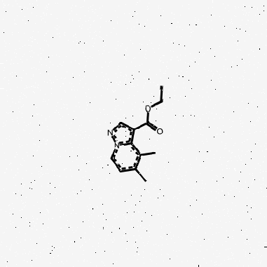 CCOC(=O)c1cnn2ccc(C)c(C)c12